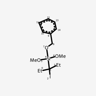 CCC(I)(CC)[Si](OC)(OC)OCc1ccccc1